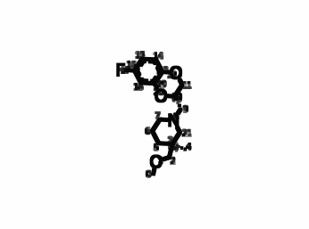 COC[C@@]1(C)CCCN(C[C@H]2COc3ccc(F)cc3O2)C1